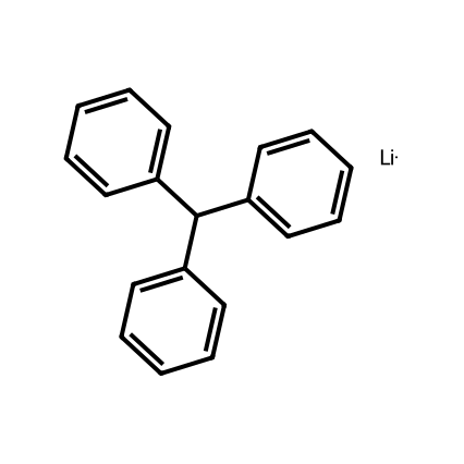 [Li].c1ccc(C(c2ccccc2)c2ccccc2)cc1